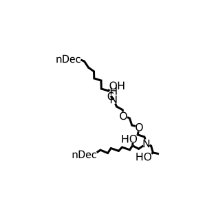 CCCCCCCCCCCCCCCCC(O)CNCCOCCOCCN(CC(C)O)CC(O)CCCCCCCCCCCCCCCC